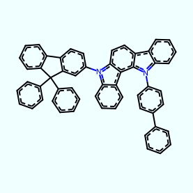 c1ccc(-c2ccc(-n3c4ccccc4c4ccc5c(c6ccccc6n5-c5ccc6c(c5)C(c5ccccc5)(c5ccccc5)c5ccccc5-6)c43)cc2)cc1